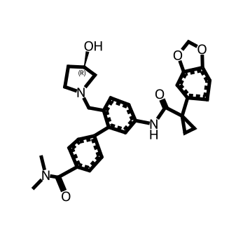 CN(C)C(=O)c1ccc(-c2cc(NC(=O)C3(c4ccc5c(c4)OCO5)CC3)ccc2CN2CC[C@@H](O)C2)cc1